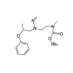 C=NN(CCN(C)C(=O)OC(C)(C)C)CC(C)Oc1ccccc1